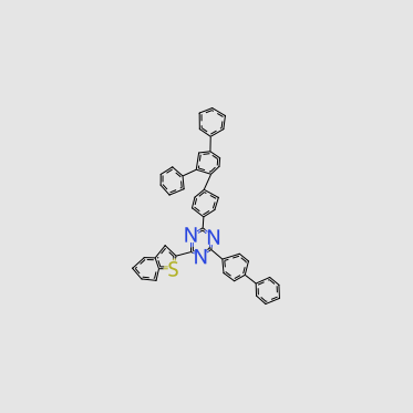 c1ccc(-c2ccc(-c3nc(-c4ccc(-c5ccc(-c6ccccc6)cc5-c5ccccc5)cc4)nc(-c4cc5ccccc5s4)n3)cc2)cc1